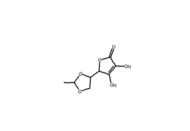 CC1OCC(C2OC(=O)C(O)=C2O)O1